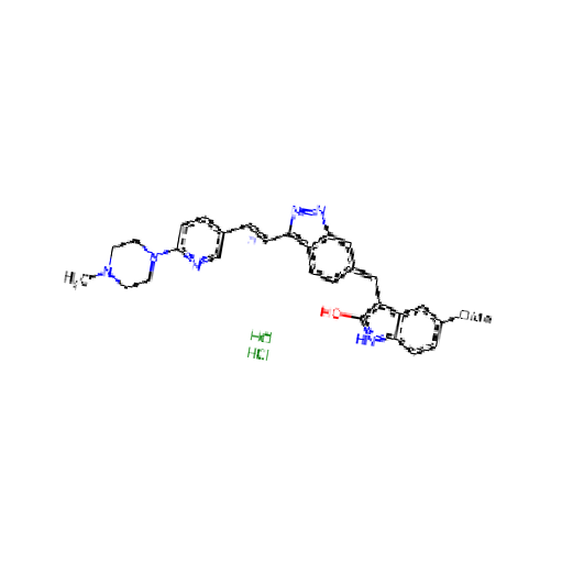 COc1ccc2[nH]c(O)c(C=c3ccc4c(c3)N=NC=4/C=C/c3ccc(N4CCN(C)CC4)nc3)c2c1.Cl.Cl